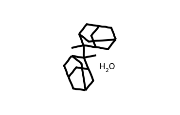 CC1(C2(C)C3CC4CC(C3)CC2C4)C2CC3CC(C2)CC1C3.O